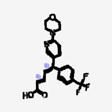 O=C(O)/C=C/C=C(\c1ccc(C(F)(F)F)cc1)c1ccc(N2CCOCC2)nc1